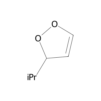 CC(C)C1C=COO1